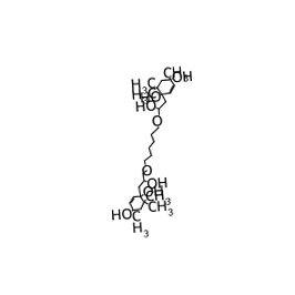 CC1(O)C=CC(O)(CC(O)COCCCCCCOCC(O)CC2(O)C=CC(C)(O)CC2(C)C)C(C)(C)C1